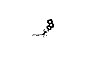 CCCCCCCCCC(CC)C(F)Oc1ccc2c(ccc3ccccc32)c1